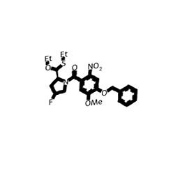 CCOC(SCC)[C@@H]1CC(F)CN1C(=O)c1cc(OC)c(OCc2ccccc2)cc1[N+](=O)[O-]